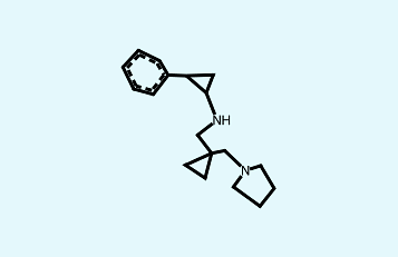 c1ccc(C2CC2NCC2(CN3CCCC3)CC2)cc1